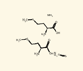 CSCC[C@H](N)C(=O)O.CSCC[C@H](N)C(=O)O.N.N.O=S